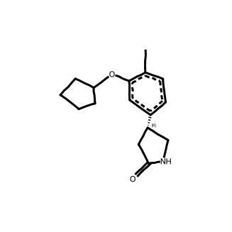 Cc1ccc([C@@H]2CNC(=O)C2)cc1OC1CCCC1